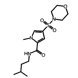 CC(C)CCNC(=O)c1cc(S(=O)(=O)N2CCOCC2)cn1C